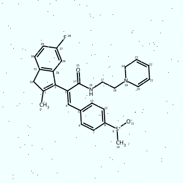 CC1=C(C(=Cc2ccc([S+](C)[O-])cc2)C(=O)NCCN2C=CC=CC2)c2cc(F)ccc2C1